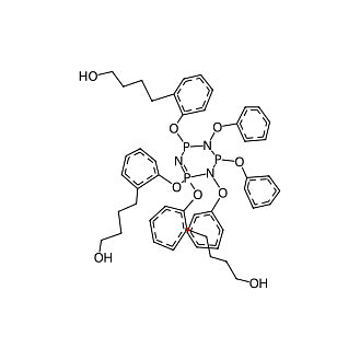 OCCCCc1ccccc1OP1N=P(Oc2ccccc2CCCCO)(Oc2ccccc2CCCCO)N(Oc2ccccc2)P(Oc2ccccc2)N1Oc1ccccc1